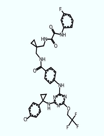 O=C(NCC1(CNC(=O)c2ccc(Nc3nc(NC4(c5ccc(Cl)cc5)CC4)nc(OCC(F)(F)F)n3)cc2)CC1)C(=O)Nc1cccc(F)c1